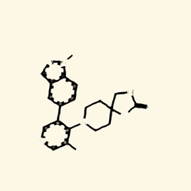 Cn1ncc2cc(-c3cncc(Cl)c3N3CCC4(CC3)CNC(=O)O4)ccc21